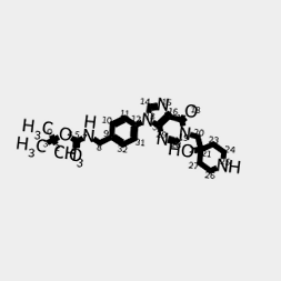 CC(C)(C)OC(=O)NCc1ccc(-n2cnc3c(=O)n(CC4(O)CCNCC4)cnc32)cc1